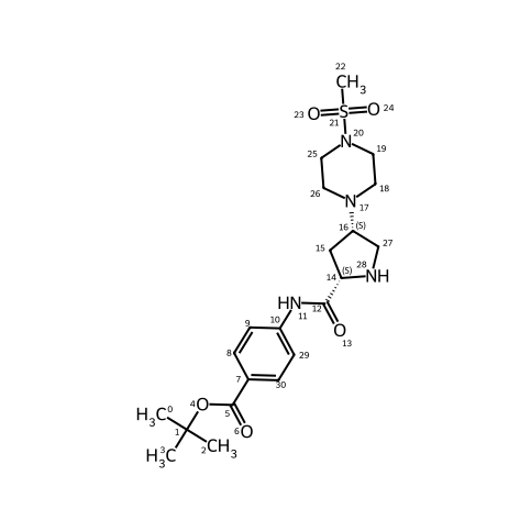 CC(C)(C)OC(=O)c1ccc(NC(=O)[C@@H]2C[C@H](N3CCN(S(C)(=O)=O)CC3)CN2)cc1